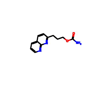 NC(=O)OCCCc1ccc2cccnc2n1